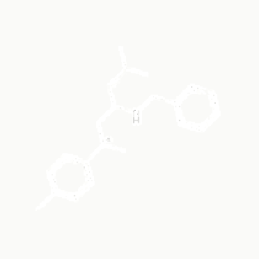 CC(C)=CC(C[C@H](C)c1ccc(C)cc1)NCc1ccccc1